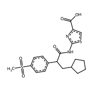 CS(=O)(=O)c1ccc(C(CC2CCCC2)C(=O)Nc2nc(C(=O)O)cs2)cc1